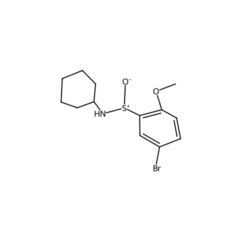 COc1ccc(Br)cc1[S+]([O-])NC1CCCCC1